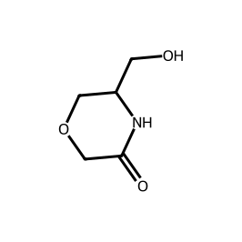 O=C1COCC(CO)N1